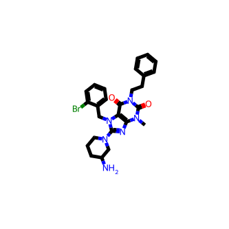 Cn1c(=O)n(CCc2ccccc2)c(=O)c2c1nc(N1CCCC(N)C1)n2Cc1ccccc1Br